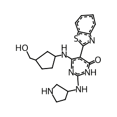 O=c1[nH]c(NC2CCNC2)nc(NC2CCC(CO)C2)c1-c1nc2ccccc2s1